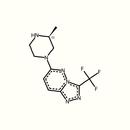 C[C@H]1CN(c2ccc3nnc(C(F)(F)F)n3n2)CCN1